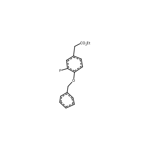 CCOC(=O)Cc1ccc(OCc2ccccc2)c(F)c1